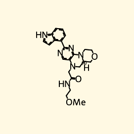 COCCNC(=O)CN1C[C@@H]2COCCN2c2nc(-c3cccc4[nH]ccc34)ncc21